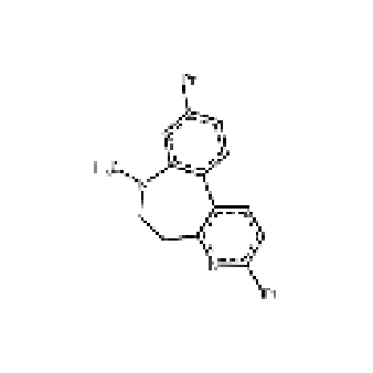 CC(C)c1ccc2c(c1)N(C)CCc1nc(C(C)C)ccc1-2